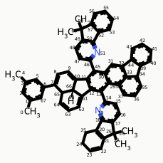 Cc1cc(C)cc(C2=CC=C3c4c(c(-c5ccc6c(n5)C5=C(C=CCC5)C6(C)C)c5c(cc6c7c(cccc75)-c5ccccc5-6)c4-c4ccc5c(n4)-c4ccccc4C5(C)C)C4=CC=CC2[C@H]34)c1